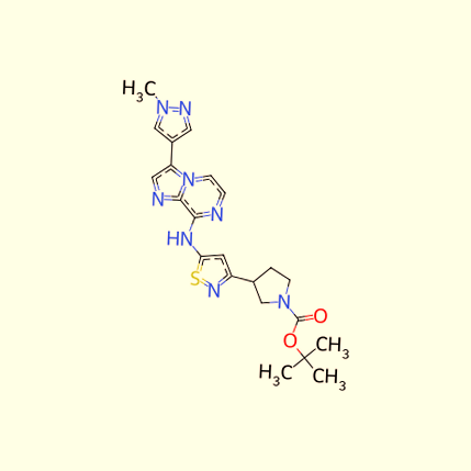 Cn1cc(-c2cnc3c(Nc4cc(C5CCN(C(=O)OC(C)(C)C)C5)ns4)nccn23)cn1